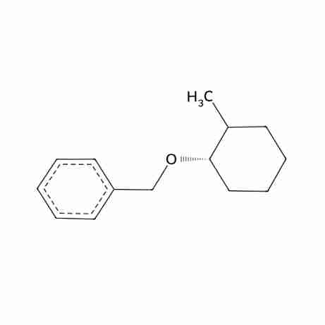 CC1CCCC[C@@H]1OCc1ccccc1